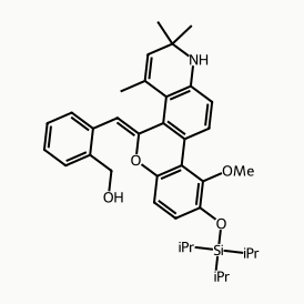 COc1c(O[Si](C(C)C)(C(C)C)C(C)C)ccc2c1-c1ccc3c(c1/C(=C/c1ccccc1CO)O2)C(C)=CC(C)(C)N3